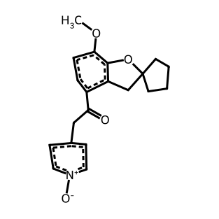 COc1ccc(C(=O)Cc2cc[n+]([O-])cc2)c2c1OC1(CCCC1)C2